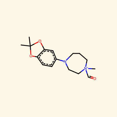 CC1(C)Oc2ccc(N3CCC[N+](C)(C=O)CC3)cc2O1